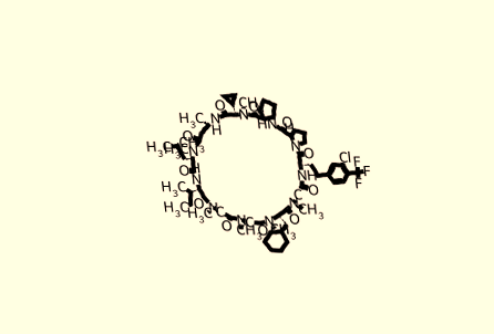 CCC(C)[C@@H]1NC(=O)[C@H](CC(C)C)N(C)C(=O)C[C@@H](C)NC(=O)[C@H](C2CC2)N(C)C(=O)C2(CCCC2)NC(=O)[C@@H]2CCCN2C(=O)[C@H](CCc2ccc(C(F)(F)F)c(Cl)c2)NC(=O)CN(C)C(=O)[C@H](CC2CCCCC2)N(C)C(=O)CN(C)C(=O)CN(C)C1=O